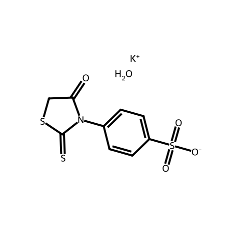 O.O=C1CSC(=S)N1c1ccc(S(=O)(=O)[O-])cc1.[K+]